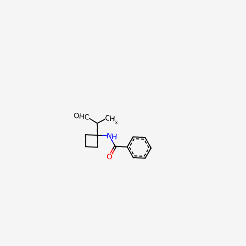 CC(C=O)C1(NC(=O)c2ccccc2)CCC1